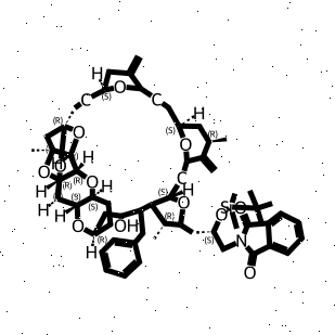 C=C1C[C@@H]2CC[C@@]34C[C@]5(C)O[C@H]6[C@@H](O3)[C@H]3O[C@H](CC[C@@H]3O[C@H]6[C@H]5O4)CC(O)C(Cc3ccccc3)C3[C@@H](C)C(C[C@@H](CN4C(=O)c5ccccc5C4=O)O[Si](C)(C)C(C)(C)C)O[C@H]3CC3O[C@@H](CCC1O2)C[C@@H](C)C3=C